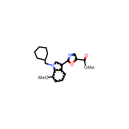 COC(=O)c1cnc(-c2cn(CC3CCCCC3)c3c(OC)cccc23)o1